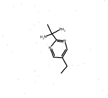 CCc1cnc(C(C)(N)P)nc1